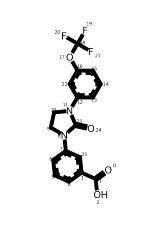 O=C(O)c1cccc(N2CCN(c3cccc(OC(F)(F)F)c3)C2=O)c1